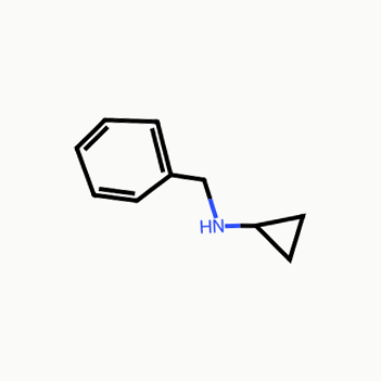 c1ccc(CNC2CC2)cc1